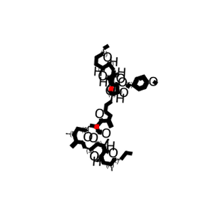 C=C1CC(CC[C@@]23OC4[C@H]5O[C@@H](CC)CC[C@@H]5O[C@H]5C(O2)[C@]2(O[C@@H](c6ccc(OC)cc6)O[C@@H]32)O[C@@H]45)OC1CC[C@H]1C[C@@H](C)C(=C)C(C[C@@H]2O[C@H]3C[C@@H](C)[C@@H](CCC)O[C@H]3[C@H](C)[C@H]2OC(C)=O)O1